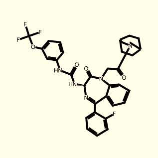 O=C(Nc1cccc(OC(F)(F)F)c1)N[C@@H]1N=C(c2ccccc2F)c2ccccc2N(CC(=O)N2CC3CCC(CC3)C2)C1=O